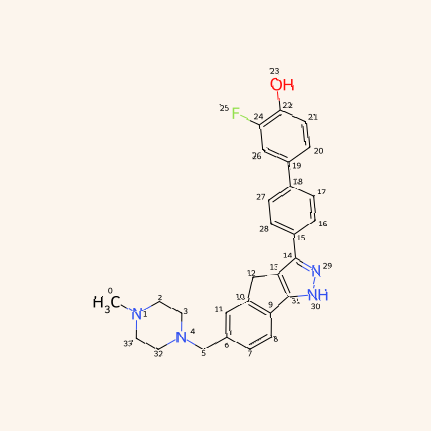 CN1CCN(Cc2ccc3c(c2)Cc2c(-c4ccc(-c5ccc(O)c(F)c5)cc4)n[nH]c2-3)CC1